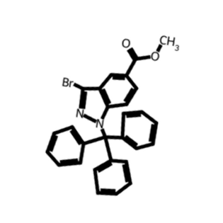 COC(=O)c1ccc2c(c1)c(Br)nn2C(c1ccccc1)(c1ccccc1)c1ccccc1